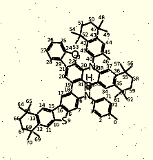 Cc1ccc(Nc2cc3sc4cc5c(cc4c3cc2-c2cc3c(oc4ccccc43)c3c2Bc2cc4c(cc2N3c2cc3c(cc2C)C(C)(C)CCC3(C)C)C(C)(C)CCC4(C)C)C(C)(C)CCC5(C)C)cc1